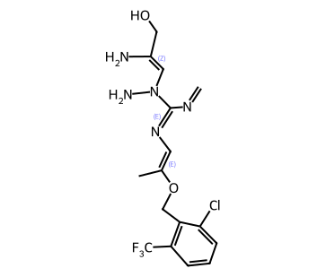 C=N/C(=N\C=C(/C)OCc1c(Cl)cccc1C(F)(F)F)N(N)/C=C(\N)CO